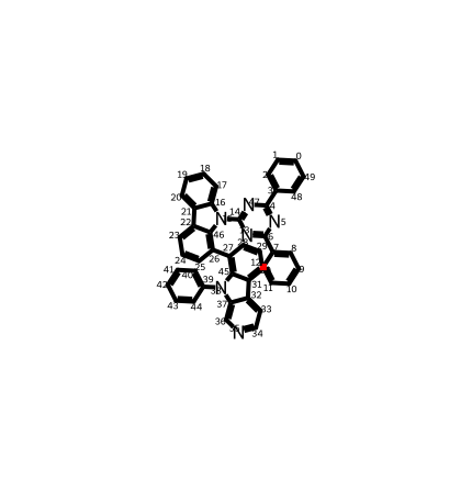 c1ccc(-c2nc(-c3ccccc3)nc(-n3c4ccccc4c4cccc(-c5cccc6c7ccncc7n(-c7ccccc7)c56)c43)n2)cc1